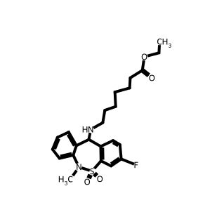 CCOC(=O)CCCCCCNC1c2ccccc2N(C)S(=O)(=O)c2cc(F)ccc21